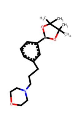 CC1(C)OB(c2cccc(CCCN3CCOCC3)c2)OC1(C)C